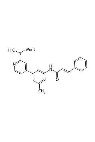 CCCCCN(C)c1cc(-c2cc(C)cc(NC(=O)C=Cc3ccccc3)c2)ccn1